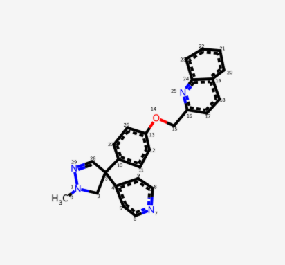 CN1CC(c2ccncc2)(c2ccc(OCc3ccc4ccccc4n3)cc2)C=N1